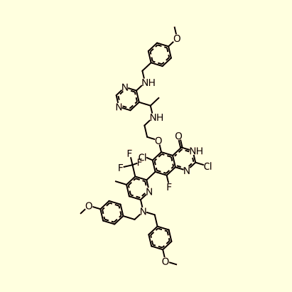 COc1ccc(CNc2ncncc2C(C)NCCOc2c(Cl)c(-c3nc(N(Cc4ccc(OC)cc4)Cc4ccc(OC)cc4)cc(C)c3C(F)(F)F)c(F)c3nc(Cl)[nH]c(=O)c23)cc1